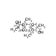 CCC1CC2(OCC(C)(CO)CO2)C(CC)CC12OCC(C)(CO)CO2